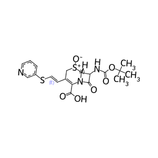 CC(C)(C)OC(=O)NC1C(=O)N2C(C(=O)O)=C(/C=C/Sc3cccnc3)C[S+]([O-])[C@H]12